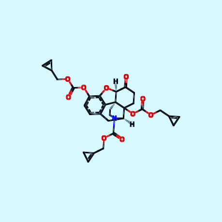 O=C(OCC1C=C1)Oc1ccc2c3c1O[C@H]1C(=O)CCC4(OC(=O)OCC5=CC5)[C@@H](C2)N(C(=O)OCC2=CC2)CC[C@]314